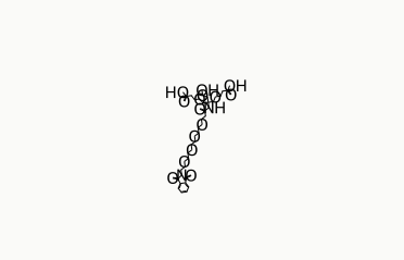 O=C(O)CCOCC(COO)(COCCC(=O)O)NC(=O)CCOCCOCCOCCOCCN1C(=O)c2ccccc2C1=O